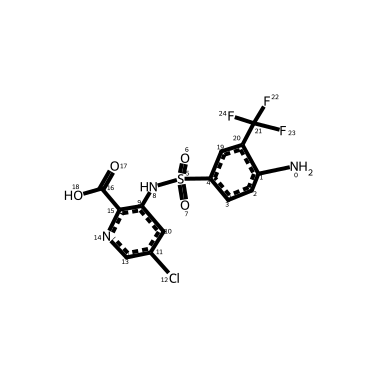 Nc1ccc(S(=O)(=O)Nc2cc(Cl)cnc2C(=O)O)cc1C(F)(F)F